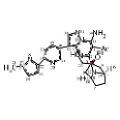 CC(=O)c1c([C@H]2C[C@H]3CC[C@@H](C2)N3C(=O)CO)nc2c(-c3ccc(-c4ccn(C)n4)nc3)cnn2c1N